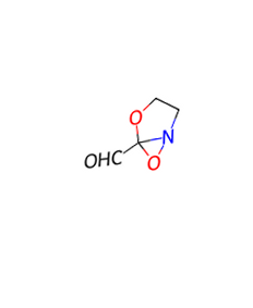 O=CC12OCCN1O2